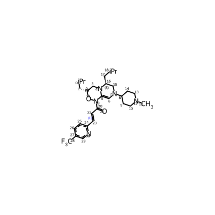 CC(C)C[C@@H]1CN2C(=CN(C3CCN(C)CC3)C[C@@H]2CC(C)C)N(C(=O)/C=C/c2ccc(C(F)(F)F)cn2)O1